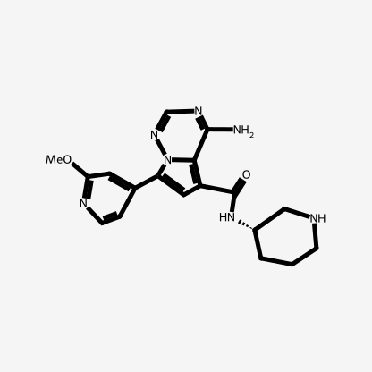 COc1cc(-c2cc(C(=O)N[C@H]3CCCNC3)c3c(N)ncnn23)ccn1